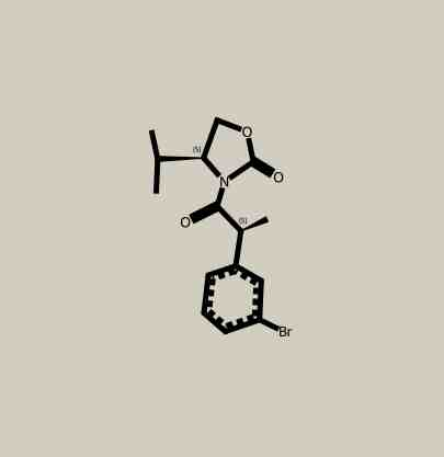 CC(C)[C@H]1COC(=O)N1C(=O)[C@@H](C)c1cccc(Br)c1